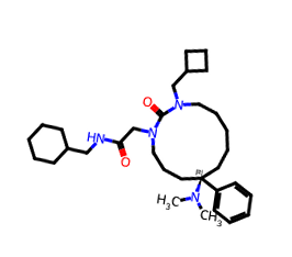 CN(C)[C@]1(c2ccccc2)CCCCCN(CC2CCC2)C(=O)N(CC(=O)NCC2CCCCC2)CCC1